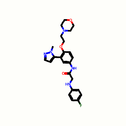 Cn1nccc1-c1cc(NC(=O)CNc2ccc(F)cc2)ccc1OCCN1CCOCC1